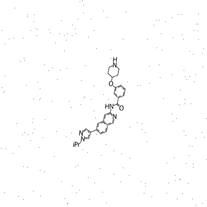 CC(C)n1cc(-c2ccc3cnc(NC(=O)c4cccc(OC5CCNCC5)c4)cc3c2)cn1